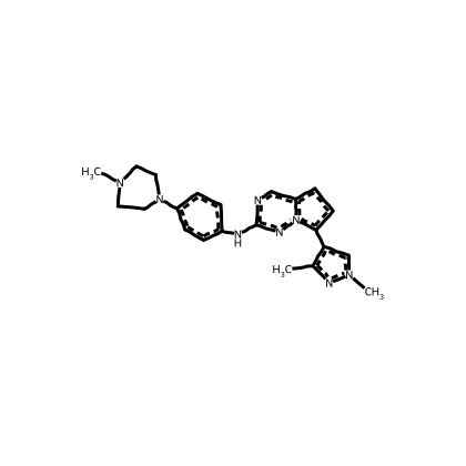 Cc1nn(C)cc1-c1ccc2cnc(Nc3ccc(N4CCN(C)CC4)cc3)nn12